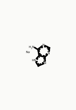 Nc1ncnc2nc[nH]c12.[Na]